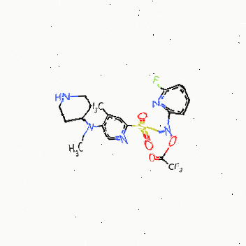 Cc1cc(S(=O)(=O)N(OC(=O)C(F)(F)F)c2cccc(F)n2)ncc1N(C)C1CCNCC1